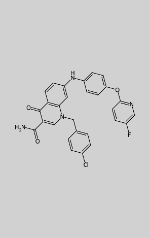 NC(=O)c1cn(Cc2ccc(Cl)cc2)c2cc(Nc3ccc(Oc4ccc(F)cn4)cc3)ccc2c1=O